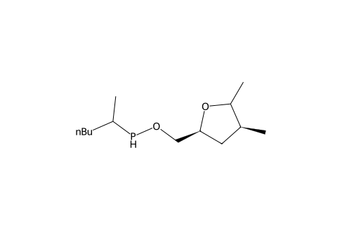 CCCCC(C)POC[C@@H]1C[C@H](C)C(C)O1